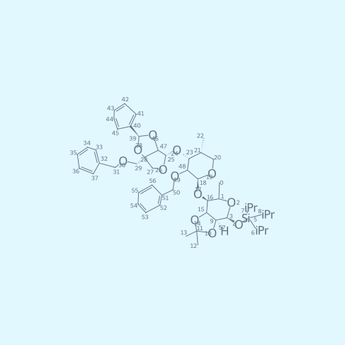 CC1O[C@@H](O[Si](C(C)C)(C(C)C)C(C)C)[C@H]2OC(C)(C)OC2[C@H]1O[C@@H]1OC[C@@H](C)[C@@H](O[C@@H]2OC[C@@]3(COCc4ccccc4)O[C@@H](c4ccccc4)OC23)C1OCc1ccccc1